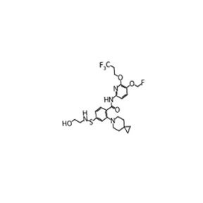 O=C(Nc1ccc(OCF)c(OCCC(F)(F)F)n1)c1ccc(SNCCO)cc1N1CCC2(CC1)CC2